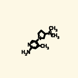 Cc1cc(N)ncc1N1CCC(N(C)C)C1